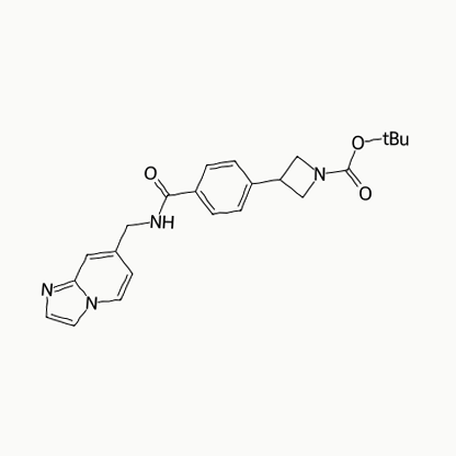 CC(C)(C)OC(=O)N1CC(c2ccc(C(=O)NCc3ccn4ccnc4c3)cc2)C1